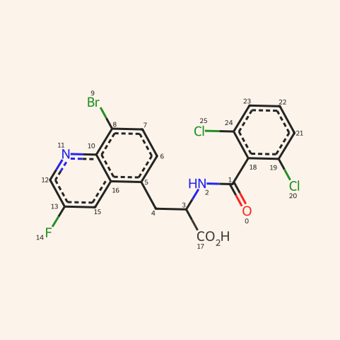 O=C(NC(Cc1ccc(Br)c2ncc(F)cc12)C(=O)O)c1c(Cl)cccc1Cl